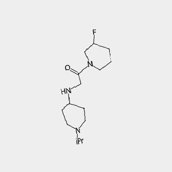 CC(C)N1CCC(NCC(=O)N2CCCC(F)C2)CC1